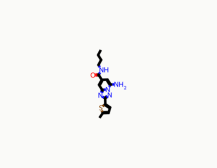 CCCCNC(=O)c1cc(N)n2nc(-c3ccc(C)s3)nc2c1